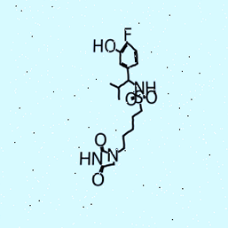 CC(C)C(NS(=O)(=O)CCCCCN1CC(=O)NC1=O)c1ccc(F)c(O)c1